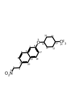 O=[N+]([O-])CCc1ccc2cc(OC3CCC(C(F)(F)F)CC3)ccc2c1